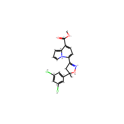 COC(=O)c1ccc(C2=NOC(C)(c3cc(Cl)cc(Cl)c3)C2)n2cccc12